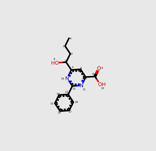 CCCC(O)c1cc(C(=O)O)nc(-c2ccccc2)n1